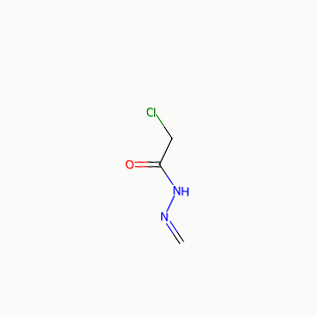 C=NNC(=O)CCl